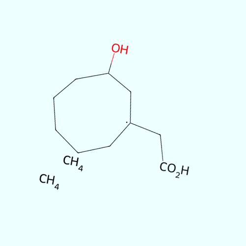 C.C.O=C(O)C[C]1CCCCCC(O)C1